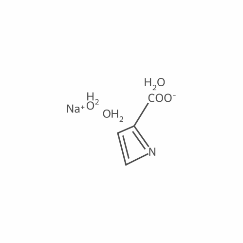 O.O.O.O=C([O-])C1=NC=C1.[Na+]